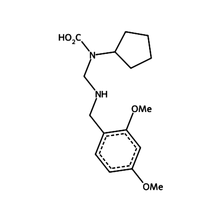 COc1ccc(CNCN(C(=O)O)C2CCCC2)c(OC)c1